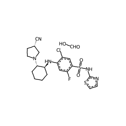 N#C[C@H]1CCN([C@H]2CCCC[C@@H]2Nc2cc(F)c(S(=O)(=O)Nc3nccs3)cc2Cl)C1.O=CO